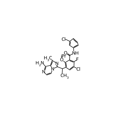 Cc1nc(C(C)c2cc(Cl)c(F)c(C(=O)Nc3cccc(Cl)c3)c2OC(C)C)n2ccnc(N)c12